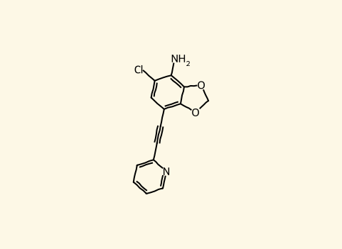 Nc1c(Cl)cc(C#Cc2ccccn2)c2c1OCO2